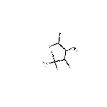 FC(F)C(C(F)C(F)(F)C(F)(F)F)C(F)(F)F